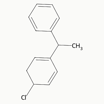 CC(C1=CCC(Cl)C=C1)c1ccccc1